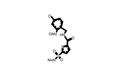 CNS(=O)(=O)c1ccc(C(=O)NCc2ccc(Cl)cc2OC)s1